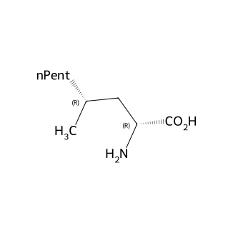 CCCCC[C@@H](C)C[C@@H](N)C(=O)O